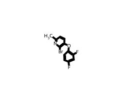 Cc1ccc(Oc2ccc(F)cc2F)c(Br)n1